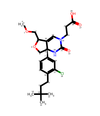 COCC1OC[C@@]2(c3ccc(CCC(C)(C)C)c(Cl)c3)NC(=O)N(CCC(=O)O)C=C12